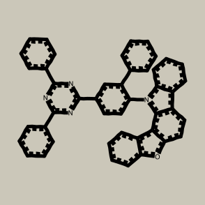 c1ccc(-c2nc(-c3ccccc3)nc(-c3ccc(-n4c5ccccc5c5ccc6oc7ccccc7c6c54)c(-c4ccccc4)c3)n2)cc1